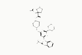 O=C(O)NC1(C(=O)N[C@H]2CC[C@H](Oc3cc(-n4c(C(F)F)nc5ccccc54)nc(N4CCOCC4)n3)CC2)CCCC1